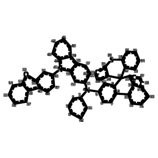 c1ccc(N(c2ccc3c(c2)C2(c4ccccc4Sc4ccccc42)c2cccc4cccc-3c24)c2ccc3c4ccccc4n(-c4ccc5c(c4)oc4ccccc45)c3c2)cc1